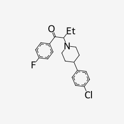 CCC(C(=O)c1ccc(F)cc1)N1CCC(c2ccc(Cl)cc2)CC1